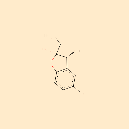 CCCc1ccc2c(c1)[C@H](CCC)[C@](O)(CC(=O)O)O2